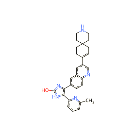 Cc1cccc(-c2[nH]c(O)nc2-c2ccc3ncc(C4=CCC5(CCNCC5)CC4)cc3c2)n1